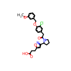 COc1cccc(COc2ccc(CC(=O)N3CCCC3c3cc(CCC(=O)O)on3)cc2Cl)c1